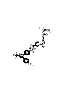 Cc1ccc(-c2cc(C(F)(F)F)nn2-c2ccc(S(=O)(=O)NC(=O)C3CCN(/[N+]([O-])=N\OCOC(=O)OC(C)C)C3)cc2)cc1